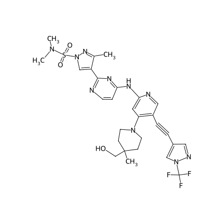 Cc1nn(S(=O)(=O)N(C)C)cc1-c1nccc(Nc2cc(N3CCC(C)(CO)CC3)c(C#Cc3cnn(C(F)(F)F)c3)cn2)n1